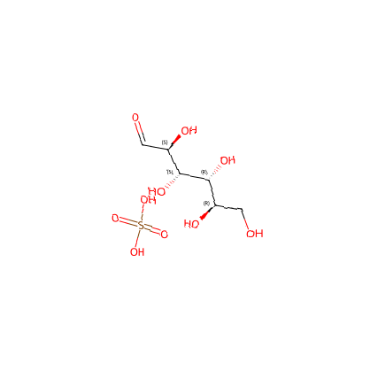 O=C[C@@H](O)[C@@H](O)[C@H](O)[C@H](O)CO.O=S(=O)(O)O